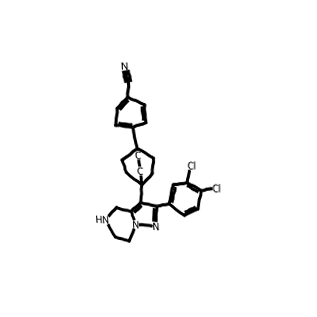 N#Cc1ccc(C23CCC(c4c(-c5ccc(Cl)c(Cl)c5)nn5c4CNCC5)(CC2)CC3)cc1